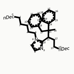 CCCCCCCCCCCCCCCn1ccnc1C(CCCCCCCCCCCC)C(C)(Cc1ccccc1)c1ccccc1